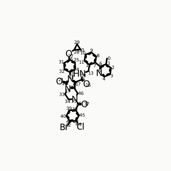 Cc1cccnc1-c1ccccc1CNC(=O)c1c2n(c(=O)n1-c1ccc(OC3CC3)cc1)CCN(C(=O)c1ccc(Br)c(Cl)c1)C2